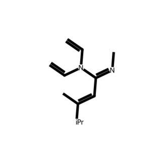 C=CN(C=C)C(/C=C(\C)C(C)C)=N\C